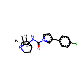 C[C@H]1[C@H](NC(=O)n2ccc(-c3ccc(F)cc3)c2)C2CCN1CC2